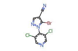 N#Cc1cnn(-c2c(Cl)cncc2Cl)c1Br